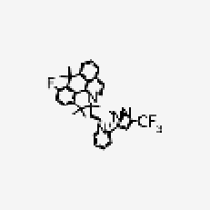 Cn1nc(C(F)(F)F)cc1-c1cccc[n+]1/C=C/C1(C)[n+]2ccc3cccc4c3c2-c2c(ccc(F)c2C4(C)C)C1(C)C